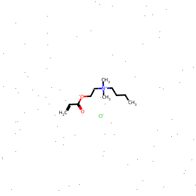 C=CC(=O)OCC[N+](C)(C)CCCC.[Cl-]